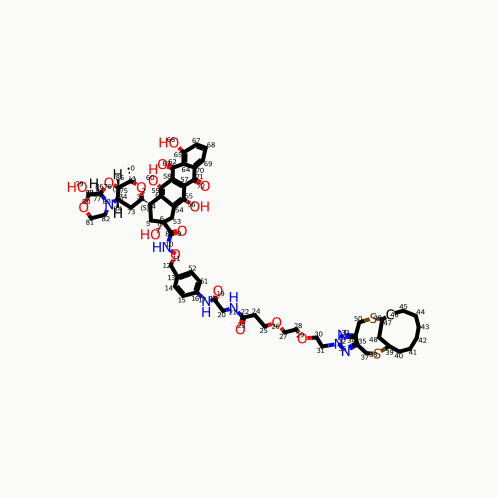 C[C@@H]1OC([C@H]2C[C@](O)(C(=O)NOCc3ccc(NC(=O)CNC(=O)CCOCCOCCn4nc5c(n4)CSC4CCCCCCCC(C4)SC5)cc3)Cc3c(O)c4c(c(O)c32)C(=O)c2c(O)cccc2C4=O)C[C@H]2[C@@H]1O[C@@H]1[C@@H](O)OCCN12